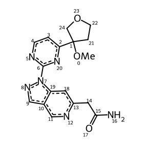 COC1(c2ccnc(-n3ncc4cnc(CC(N)=O)cc43)n2)CCOC1